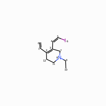 C=CC1=C(/C=C\I)CN(CC)CC1